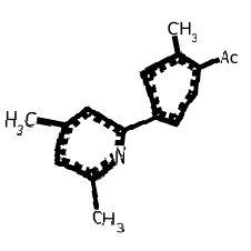 CC(=O)c1ccc(-c2cc(C)cc(C)n2)cc1C